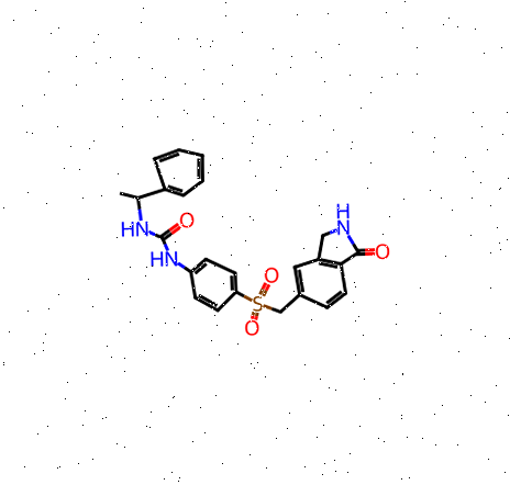 CC(NC(=O)Nc1ccc(S(=O)(=O)Cc2ccc3c(c2)CNC3=O)cc1)c1ccccc1